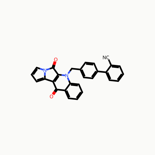 N#Cc1ccccc1-c1ccc(Cn2c3c(c(=O)c4ccccc42)-c2cccn2C3=O)cc1